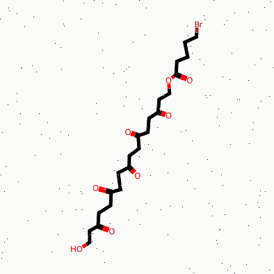 O=C(CCO)CCC(=O)CCC(=O)CCC(=O)CCC(=O)CCOC(=O)CCCCBr